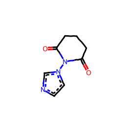 O=C1CCCC(=O)N1n1ccnc1